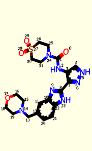 O=C(Nc1c[nH]nc1-c1nc2cc(CN3CCOCC3)ccc2[nH]1)N1CCS(=O)(=O)CC1